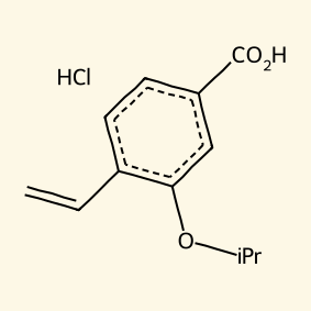 C=Cc1ccc(C(=O)O)cc1OC(C)C.Cl